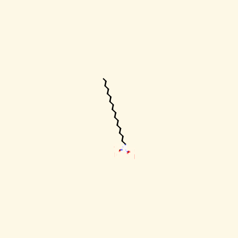 CCCCCCCCCCCCCCCCCCN(C(=O)O)C(=O)O